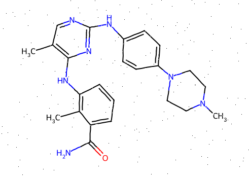 Cc1cnc(Nc2ccc(N3CCN(C)CC3)cc2)nc1Nc1cccc(C(N)=O)c1C